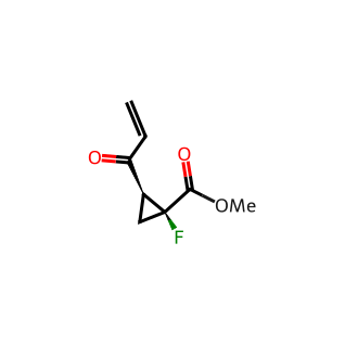 C=CC(=O)[C@@H]1C[C@@]1(F)C(=O)OC